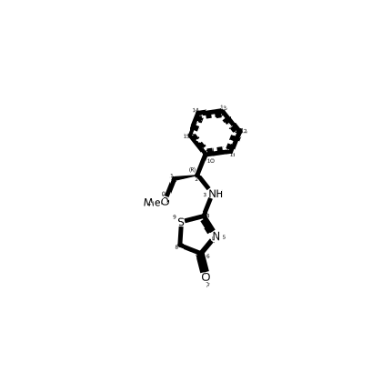 COC[C@H](NC1=NC(=O)CS1)c1ccccc1